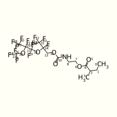 CCC(C)C(=O)OCCNC(=O)OCC(F)(OC(F)(F)C(F)(OC(F)(F)F)C(F)(F)F)C(F)(F)F